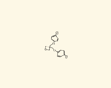 Clc1ccc(OCC2(COc3ccc(Cl)cc3)COC2)cc1